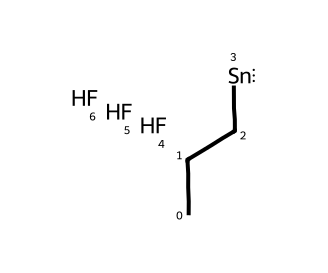 CC[CH2][Sn].F.F.F